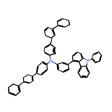 C1=CCCC(C2=CC=C(c3ccc(N(c4ccc(C5C=C(C6=CCCC=C6)C=CC5)cc4)c4cccc(-c5cccc6c5c5ccccc5n6-c5ccccc5)c4)cc3)CC2)=C1